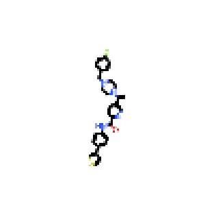 C=C(c1ccc(C(=O)Nc2ccc(-c3ccsc3)cc2)nc1)N1CCN(Cc2ccc(F)cc2)CC1